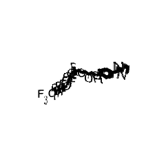 O[C@H](COCC(F)(F)OC(F)(F)C(F)(F)OC(F)(F)C(F)(F)C(F)(F)C(F)(F)F)COc1ccc(-c2ncccn2)cc1